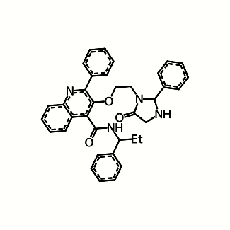 CCC(NC(=O)c1c(OCCN2C(=O)CNC2c2ccccc2)c(-c2ccccc2)nc2ccccc12)c1ccccc1